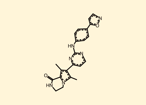 Cc1c(-c2ccnc(Nc3ccc(-c4ccno4)cc3)n2)c(C)n2c1C(=O)NCC2